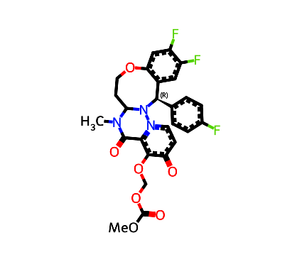 COC(=O)OCOc1c2n(ccc1=O)N1C(CCOc3cc(F)c(F)cc3[C@H]1c1ccc(F)cc1)N(C)C2=O